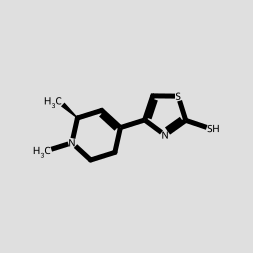 C[C@H]1C=C(c2csc(S)n2)CCN1C